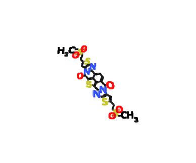 CCS(=O)(=O)CCc1cc2c(nc3c4ccc5c(=O)n6c7cc(CCS(=O)(=O)CC)sc7nc6c6sc(c(=O)n23)c4c56)s1